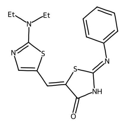 CCN(CC)c1ncc(C=C2SC(=Nc3ccccc3)NC2=O)s1